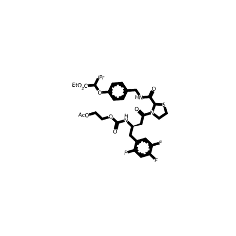 CCOC(=O)C(Oc1ccc(CNC(=O)C2SCCN2C(=O)C[C@@H](Cc2cc(F)c(F)cc2F)NC(=O)OCCOC(C)=O)cc1)C(C)C